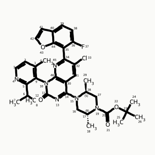 Cc1ccnc(C(C)C)c1-n1c(=O)nc(N2C[C@@H](C)N(C(=O)OC(C)(C)C)C[C@@H]2C)c2cc(Cl)c(-c3c(F)ccc4ccoc34)nc21